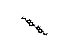 c1cc2cc(OCC3CO3)ccc2cc1/N=N/c1ccc2cc(OCC3CO3)ccc2c1